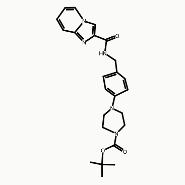 CC(C)(C)OC(=O)N1CCN(c2ccc(CNC(=O)c3cn4ccccc4n3)cc2)CC1